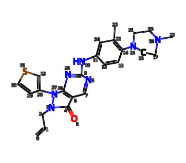 C=CCn1c(=O)c2cnc(Nc3ccc(N4CCN(C)CC4)c(C)c3)nc2n1-c1ccsc1